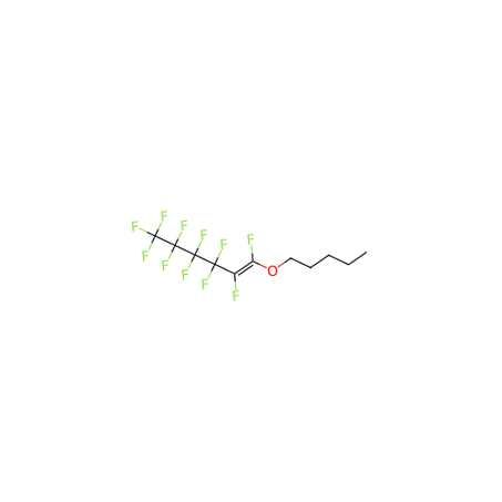 CCCCCOC(F)=C(F)C(F)(F)C(F)(F)C(F)(F)C(F)(F)F